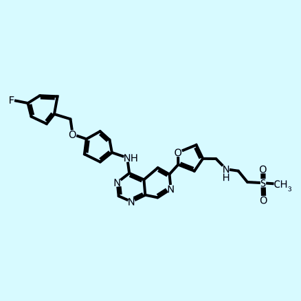 CS(=O)(=O)CCNCc1coc(-c2cc3c(Nc4ccc(OCc5ccc(F)cc5)cc4)ncnc3cn2)c1